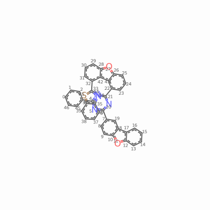 c1ccc(-c2nc(-c3ccc4oc5ccccc5c4c3)nc(-c3cccc4oc5cccc(-c6nc7ccccc7s6)c5c34)n2)cc1